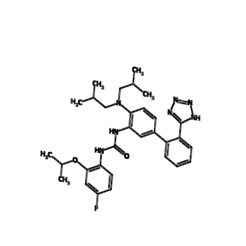 CC(C)CN(CC(C)C)c1ccc(-c2ccccc2-c2nnn[nH]2)cc1NC(=O)Nc1ccc(F)cc1OC(C)C